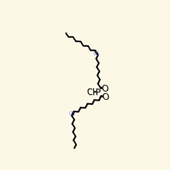 CCCCCCCC/C=C\CCCCCCCC(=O)P(Cl)C(=O)CCCCCCC/C=C\CCCCCCCC